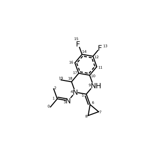 CC(C)=NN1C(=C2CC2)Nc2cc(F)c(F)cc2C1C